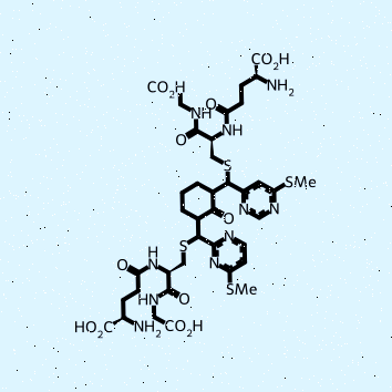 CSc1cc(C(SC[C@H](NC(=O)CC[C@H](N)C(=O)O)C(=O)NCC(=O)O)C2CCCC(C(SC[C@H](NC(=O)CC[C@@H](N)C(=O)O)C(=O)NCC(=O)O)c3nccc(SC)n3)C2=O)ncn1